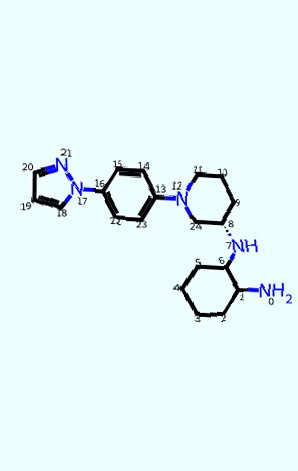 NC1CCCCC1N[C@H]1CCCN(c2ccc(-n3cccn3)cc2)C1